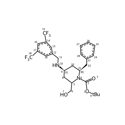 CC(C)(C)OC(=O)N1C(CO)C[C@@H](NCc2cc(C(F)(F)F)cc(C(F)(F)F)c2)C[C@H]1Cc1ccccc1